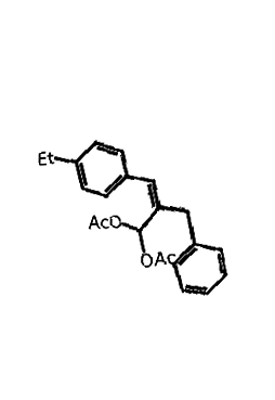 CCc1ccc(C=C(Cc2ccccc2)C(OC(C)=O)OC(C)=O)cc1